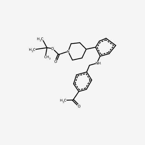 CC(=O)c1ccc(CNc2ccccc2C2CCN(C(=O)OC(C)(C)C)CC2)cc1